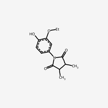 CCOc1cc(N2C(=O)C(C)C(C)C2=O)ccc1O